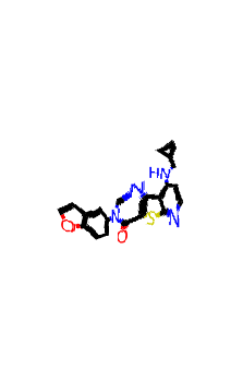 O=c1c2sc3nccc(NCC4CC4)c3c2ncn1-c1ccc2occc2c1